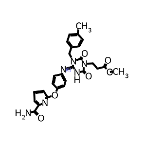 COC(=O)CCn1c(=O)[nH]/c(=N\c2ccc(Oc3cccc(C(N)=O)n3)cc2)n(Cc2ccc(C)cc2)c1=O